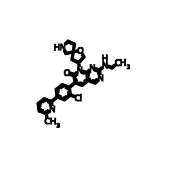 CCNc1ncc2cc(-c3ccc(-c4cccc(C)n4)cc3Cl)c(=O)n(C3COC4(CCNC4)C3)c2n1